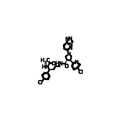 CC(=O)N[C@@H](CCCNC(=O)[C@@H]1CN(c2ccc3nncn3n2)C[C@H]1c1ccc(Cl)cn1)c1ccc(Cl)cc1